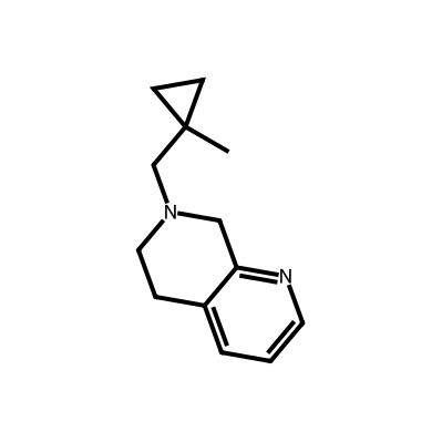 CC1(CN2CCc3cccnc3C2)CC1